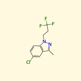 Cc1nn(CCC(F)(F)F)c2ccc(Cl)cc12